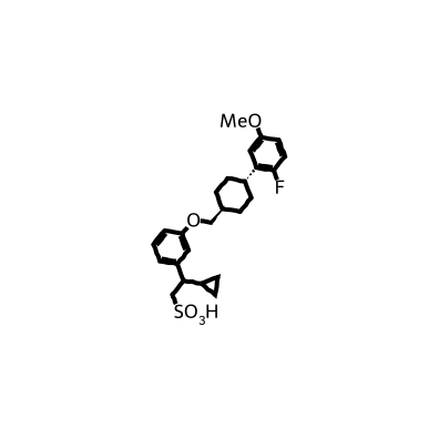 COc1ccc(F)c([C@H]2CC[C@H](COc3cccc(C(CS(=O)(=O)O)C4CC4)c3)CC2)c1